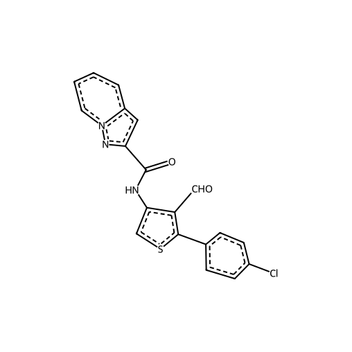 O=Cc1c(NC(=O)c2cc3ccccn3n2)csc1-c1ccc(Cl)cc1